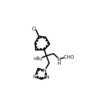 CCCCC(CNC=O)(Cn1cncn1)c1ccc(Cl)cc1